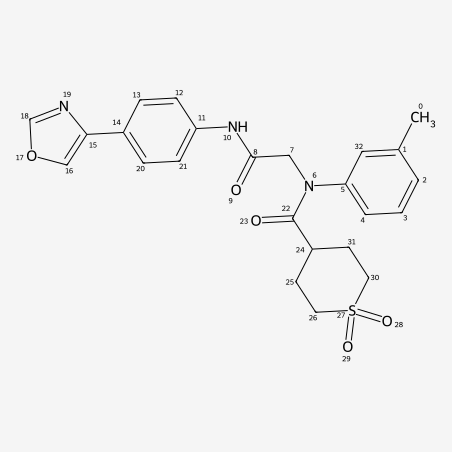 Cc1cccc(N(CC(=O)Nc2ccc(-c3cocn3)cc2)C(=O)C2CCS(=O)(=O)CC2)c1